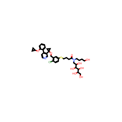 O=C(CCCSc1ccc(Cl)c(COC2(c3cnccc3-c3ccccc3OC3CC3)CC2)c1)N(CCCCO)CC(O)C(O)C(O)C(O)CO